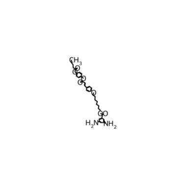 CCCCC(=O)Oc1ccc(OC(=O)/C=C/c2ccc(OCCCCCCCCOC(=O)c3cc(N)cc(N)c3)cc2)cc1